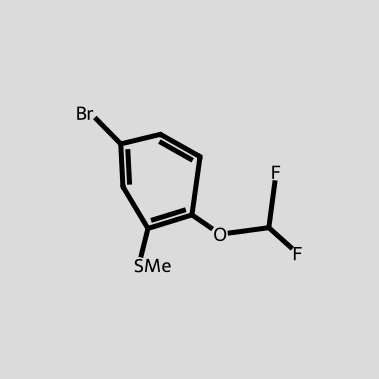 CSc1cc(Br)ccc1OC(F)F